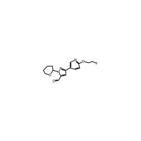 O=Cc1cc(-c2ccc(OCCF)nc2)nn1C1CCCCO1